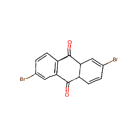 O=C1c2ccc(Br)cc2C(=O)C2C=CC(Br)=CC12